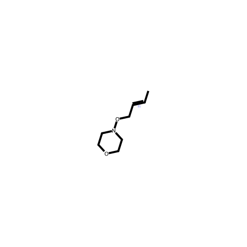 C/C=C/CON1CCOCC1